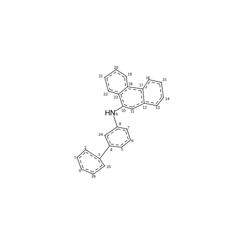 c1ccc(-c2cccc(Nc3cc4ccccc4c4ccccc34)c2)cc1